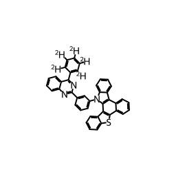 [2H]c1c([2H])c([2H])c(-c2nc(-c3cccc(-n4c5ccccc5c5c6ccccc6c6sc7ccccc7c6c54)c3)nc3ccccc23)c([2H])c1[2H]